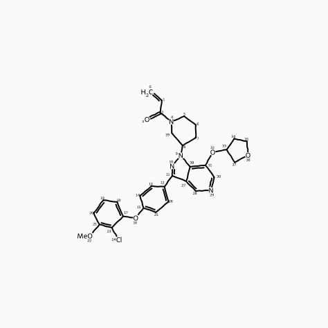 C=CC(=O)N1CCCC(n2nc(-c3ccc(Oc4cccc(OC)c4Cl)cc3)c3cncc(OC4CCOC4)c32)C1